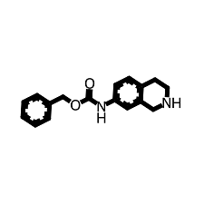 O=C(Nc1ccc2c(c1)CNCC2)OCc1ccccc1